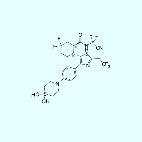 N#CC1(NC(=O)[C@@H]2CC(F)(F)CC[C@H]2c2sc(CC(F)(F)F)nc2-c2ccc(N3CCS(O)(O)CC3)cc2)CC1